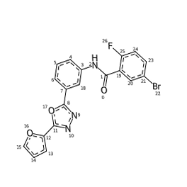 O=C(Nc1cccc(-c2nnc(-c3ccco3)o2)c1)c1cc(Br)ccc1F